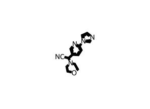 N#CC(c1ccc(-n2ccnc2)nc1)N1CCOCC1